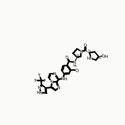 O=C(N[C@H]1CCN(C(=O)[C@@H]2C[C@@H](O)CN2)C1)c1ccc(Nc2nccn3c(-c4c[nH]nc4C(F)(F)F)cnc23)cc1Cl